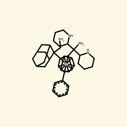 PCC1([C]23[CH]4[C]5(c6ccccc6)[CH]6[C]2(C(P)(C2CCCCN2)C2CCCCN2)[Fe]64532789[CH]3[CH]2[CH]7[CH]8[CH]39)C2CC3CC(C2)CC1C3